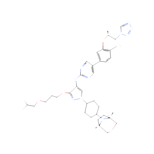 C[C@@H](Cn1cnnn1)Oc1cc(-c2cnc(Nc3cn(C4CCC(N5[C@@H]6CC[C@H]5COC6)CC4)nc3OCCCOCC(F)F)nc2)ccc1C#N